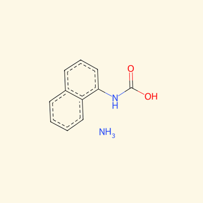 N.O=C(O)Nc1cccc2ccccc12